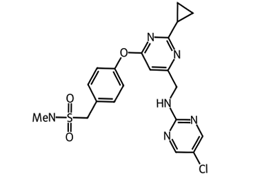 CNS(=O)(=O)Cc1ccc(Oc2cc(CNc3ncc(Cl)cn3)nc(C3CC3)n2)cc1